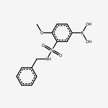 COc1ccc(B(O)O)cc1S(=O)(=O)NCc1ccccc1